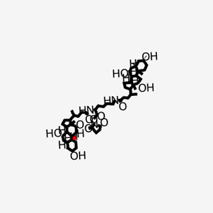 CC(CCC(=O)NCCCCC(NC(=O)CCC(C)C1CC[C@H]2[C@H]3C(O)C[C@@H]4C[C@H](O)CCC4(C)[C@H]3CC(O)C12C)C(=O)ON1C(=O)CCC1=O)C1CC[C@H]2[C@H]3C(O)C[C@@H]4C[C@H](O)CCC4(C)[C@H]3CC(O)C12C